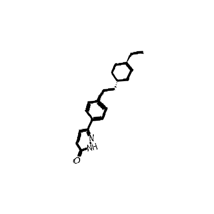 CC[C@H]1CC[C@H](CCc2ccc(-c3ccc(=O)[nH]n3)cc2)CC1